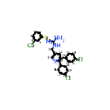 N/C(=N\Sc1cccc(Cl)c1)NCc1cnc(-c2ccc(Cl)cc2)c(-c2ccc(Cl)cc2)c1